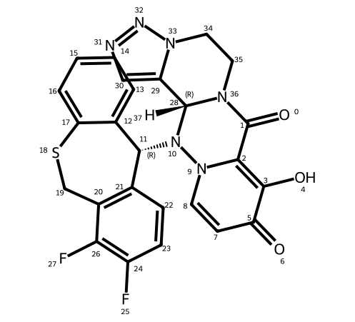 O=C1c2c(O)c(=O)ccn2N([C@H]2c3ccccc3SCc3c2ccc(F)c3F)[C@@H]2c3cnnn3CCN12